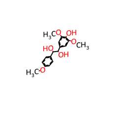 COc1ccc(C(O)C(O)c2cc(OC)c(O)c(OC)c2)cc1